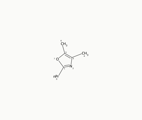 CCCc1nc(C)c(C)o1